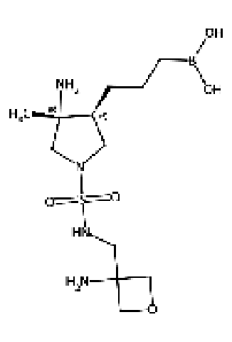 C[C@]1(N)CN(S(=O)(=O)NCC2(N)COC2)C[C@@H]1CCCB(O)O